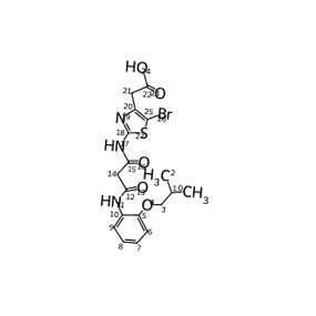 CC(C)COc1ccccc1NC(=O)CC(=O)Nc1nc(CC(=O)O)c(Br)s1